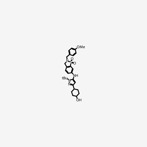 COc1ccc(CN2Cc3ccc(Nc4cc(C5CCC(O)CC5)nn4C(C)(C)C)cc3S2(=O)=O)cc1